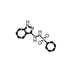 O=S(=O)(NNc1n[nH]c2ccccc12)c1ccccc1